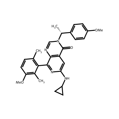 COc1ccc([C@@H](C)n2cnc3c(-c4c(C)ccc(OC)c4C)nc(NC4CC4)cc3c2=O)cc1